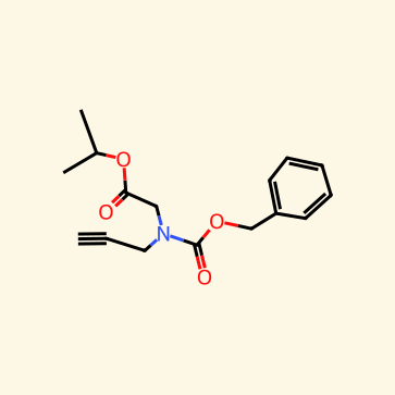 C#CCN(CC(=O)OC(C)C)C(=O)OCc1ccccc1